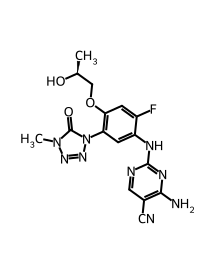 C[C@H](O)COc1cc(F)c(Nc2ncc(C#N)c(N)n2)cc1-n1nnn(C)c1=O